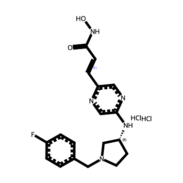 Cl.Cl.O=C(/C=C/c1cnc(N[C@@H]2CCN(Cc3ccc(F)cc3)C2)cn1)NO